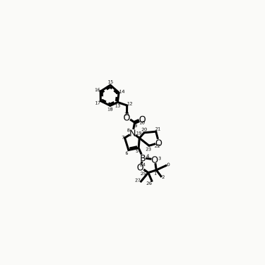 CC1(C)OB(C2=CCN(C(=O)OCc3ccccc3)C23CCOC3)OC1(C)C